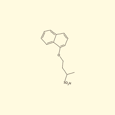 CC(CCOc1cccc2ccccc12)S(=O)(=O)O